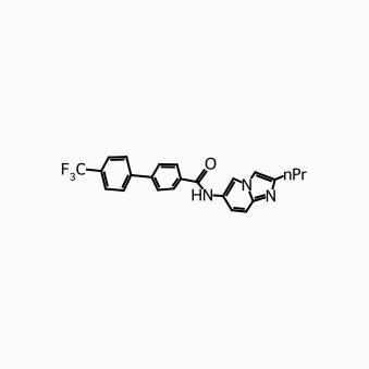 CCCc1cn2cc(NC(=O)c3ccc(-c4ccc(C(F)(F)F)cc4)cc3)ccc2n1